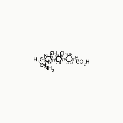 Cc1nc(C)c(-c2ccc(C3CCC(CC(=O)O)CC3)c(Cl)c2)nc1C(N)=O